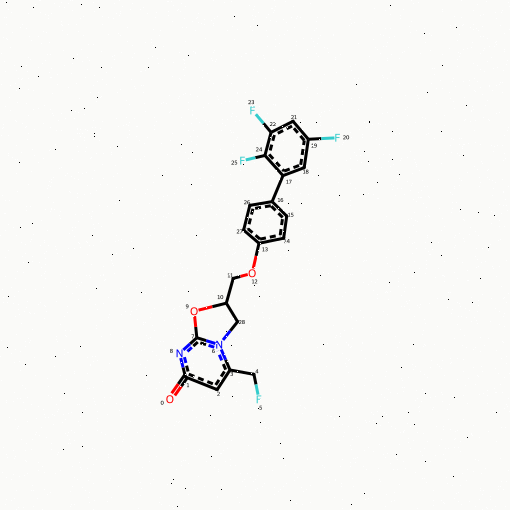 O=c1cc(CF)n2c(n1)OC(COc1ccc(-c3cc(F)cc(F)c3F)cc1)C2